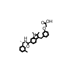 Cc1cccc([C@H](C)NC(=O)c2ccc3c(Cc4cccc(OCC(=O)O)c4)c(C)n(C)c3c2)c1